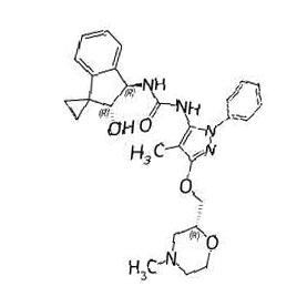 Cc1c(OC[C@H]2CN(C)CCO2)nn(-c2ccccc2)c1NC(=O)N[C@@H]1c2ccccc2C2(CC2)[C@H]1O